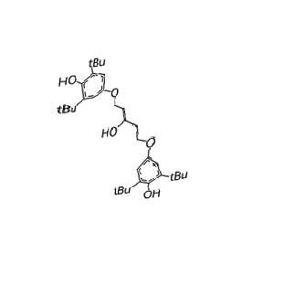 CC(C)(C)c1cc(OCCC(O)CCOc2cc(C(C)(C)C)c(O)c(C(C)(C)C)c2)cc(C(C)(C)C)c1O